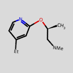 CCc1ccnc(O[C@@H](C)CNC)c1